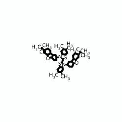 Cc1cc2c(cc1C)N(c1ccc3oc4cc(C(C)(C)C)ccc4c3c1)/C(=C1\Sc3cc(C)c(C)cc3N1c1ccc3oc4cc(C(C)(C)C)ccc4c3c1)S2